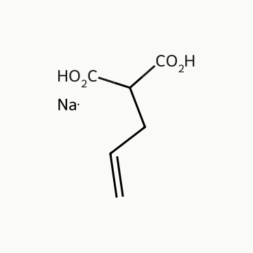 C=CCC(C(=O)O)C(=O)O.[Na]